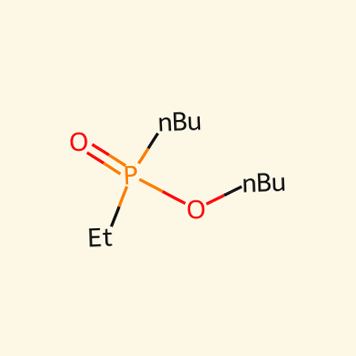 CCCCOP(=O)(CC)CCCC